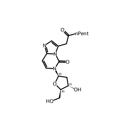 CCCCCC(=O)Cc1cnc2ccn([C@H]3C[C@H](O)[C@@H](CO)O3)c(=O)n12